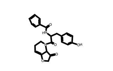 O=C(NC(Cc1ccc(O)cc1)C(=O)N1CCC=C2OCC(=O)C21)c1ccccc1